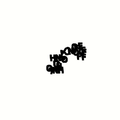 CC(=O)Nc1ccc(NC(=O)C2CC23CCN(C(=O)OC(C(F)(F)F)C(F)(F)F)CC3)cn1